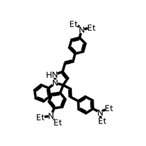 CCN(CC)c1ccc(C=CC2=CC(C=Cc3ccc(N(CC)CC)cc3)(c3ccc(N(CC)CC)cc3)N(c3ccccc3)N2)cc1